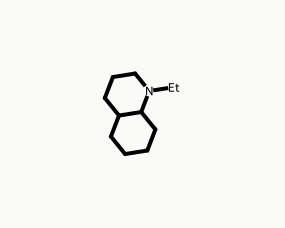 CCN1CCCC2CCCCC21